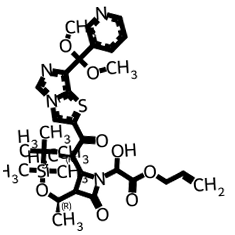 C=CCOC(=O)C(O)N1C(=O)C([C@@H](C)O[Si](C)(C)C(C)(C)C)C1[C@@H](C)C(=O)c1cn2cnc(C(OC)(OC)c3cccnc3)c2s1